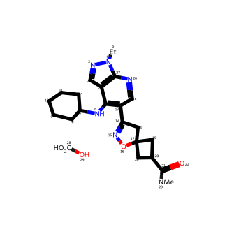 CCn1ncc2c(NC3CCCCC3)c(C3=NOC4(C3)CC(C(=O)NC)C4)cnc21.O=C(O)O